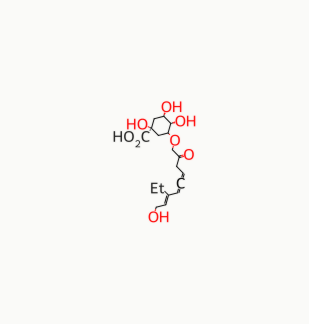 CC/C(C=C=CCC(=O)COC1C[C@](O)(C(=O)O)C[C@@H](O)[C@H]1O)=C\CO